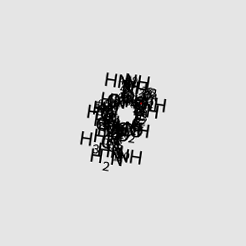 CC(=O)N[C@@H](CCCNC(=N)N)C(=O)N[C@H]1CCNC(=O)CCCCNC(=O)[C@H](Cc2c[nH]c3ccccc23)NC(=O)[C@H](CCCNC(=N)N)NC(=O)[C@@H](Cc2ccccc2)NC(O)[C@H](CC(N)=O)NC1=O